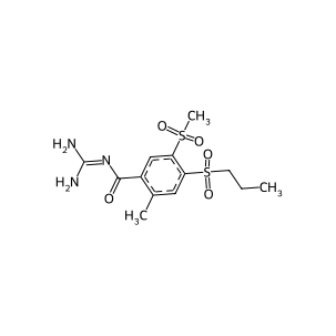 CCCS(=O)(=O)c1cc(C)c(C(=O)N=C(N)N)cc1S(C)(=O)=O